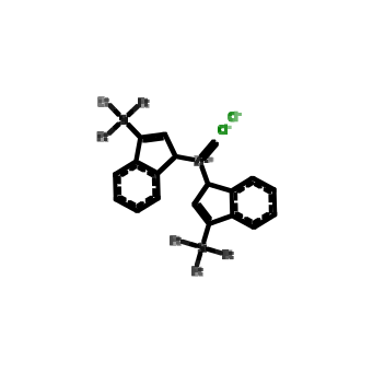 [CH2]=[Zr+2]([CH]1C=C([Si](CC)(CC)CC)c2ccccc21)[CH]1C=C([Si](CC)(CC)CC)c2ccccc21.[Cl-].[Cl-]